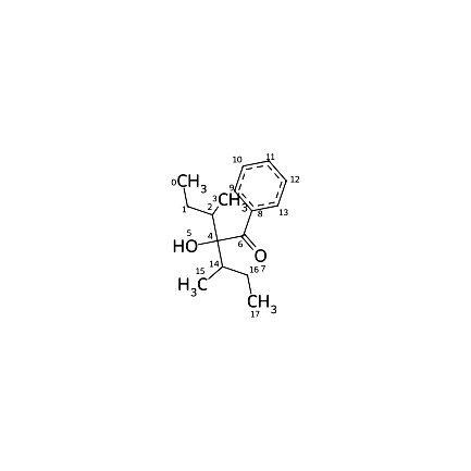 CCC(C)C(O)(C(=O)c1ccccc1)C(C)CC